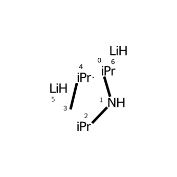 CC(C)NC(C)C.C[C](C)C.[LiH].[LiH]